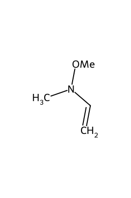 C=CN(C)OC